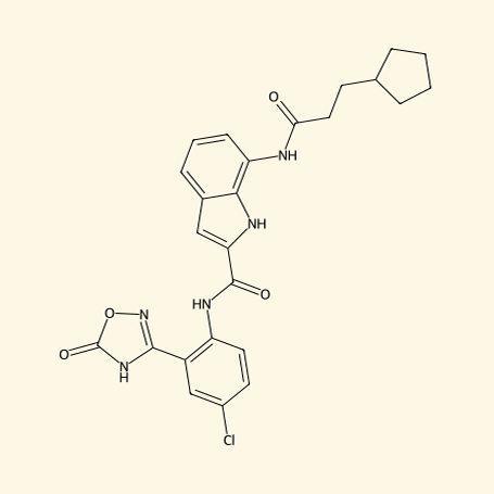 O=C(CCC1CCCC1)Nc1cccc2cc(C(=O)Nc3ccc(Cl)cc3-c3noc(=O)[nH]3)[nH]c12